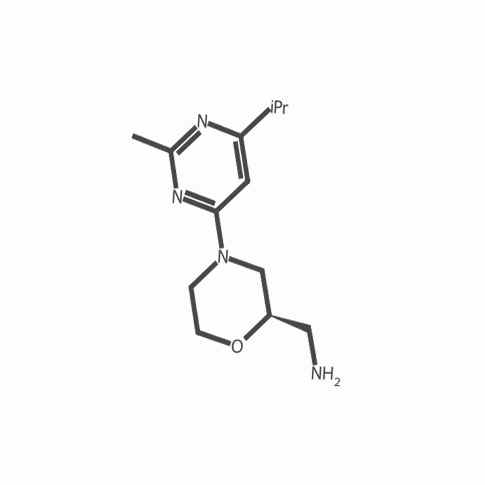 Cc1nc(C(C)C)cc(N2CCO[C@H](CN)C2)n1